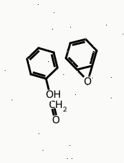 C=O.Oc1ccccc1.c1ccc2c(c1)O2